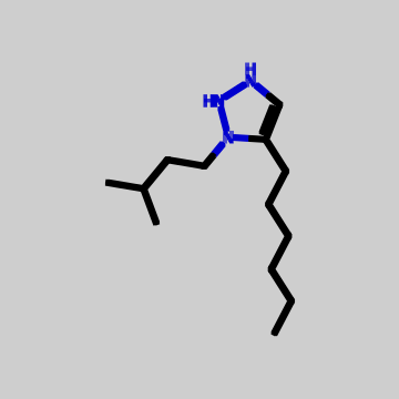 CCCCCCC1=CNNN1CCC(C)C